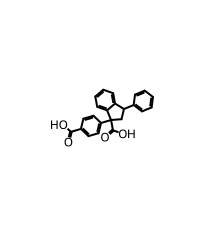 O=C(O)c1ccc(C2(C(=O)O)CC(c3ccccc3)c3ccccc32)cc1